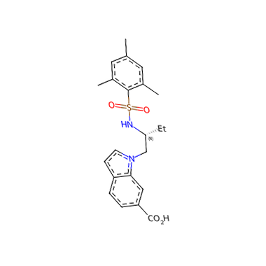 CC[C@H](Cn1ccc2ccc(C(=O)O)cc21)NS(=O)(=O)c1c(C)cc(C)cc1C